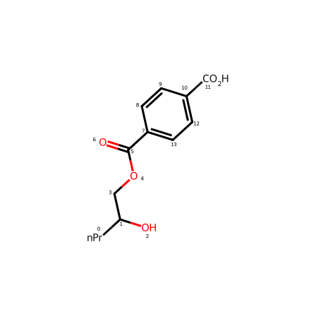 CCCC(O)COC(=O)c1ccc(C(=O)O)cc1